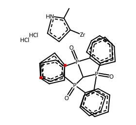 Cc1[nH]cc[c]1[Zr].Cl.Cl.O=P(c1ccccc1)(c1ccccc1)C(P(=O)(c1ccccc1)c1ccccc1)P(=O)(c1ccccc1)c1ccccc1